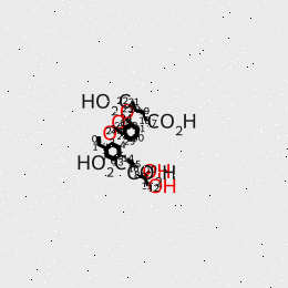 C=Cc1ccccc1.CC(O)CO.O=C(O)/C=C\C(=O)O.O=C(O)CCCCC(=O)O.O=C1OC(=O)c2cccc1c2